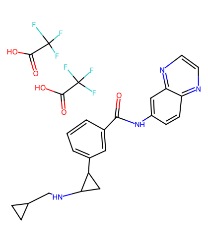 O=C(Nc1ccc2nccnc2c1)c1cccc(C2CC2NCC2CC2)c1.O=C(O)C(F)(F)F.O=C(O)C(F)(F)F